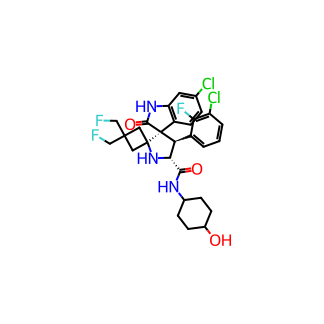 O=C(NC1CCC(O)CC1)[C@@H]1NC2(CC(CF)(CF)C2)[C@@]2(C(=O)Nc3cc(Cl)ccc32)[C@H]1c1cccc(Cl)c1F